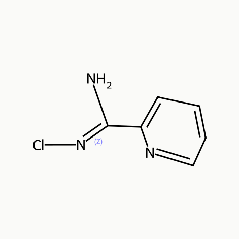 N/C(=N\Cl)c1ccccn1